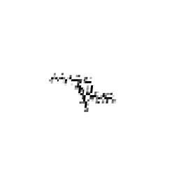 CCCCCCCCC(CCC)CNCC(CCC)CCCCCCCC